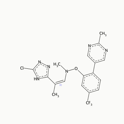 C/C(=C/N(C)Oc1cc(C(F)(F)F)ccc1-c1cnc(C)nc1)c1nnc(Cl)[nH]1